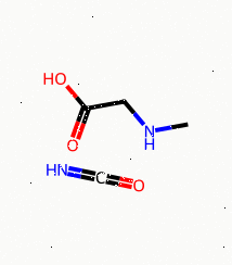 CNCC(=O)O.N=C=O